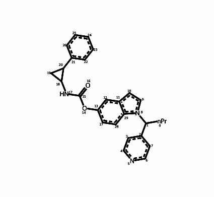 CCCC(c1ccncc1)n1ccc2cc(OC(=O)NC3CC3c3ccccc3)ccc21